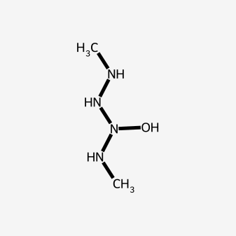 CNNN(O)NC